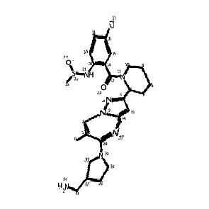 Cc1cn2nc(C3CCCCN3C(=O)c3cc(Cl)ccc3N[S+](C)[O-])cc2nc1N1CCC(CN)C1